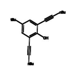 CCCCC#Cc1cc(C(C)(C)C)cc(C#CCCCC)c1O